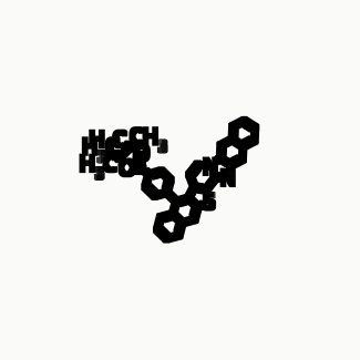 CC1(C)OB(c2ccc(-c3c4ccccc4cc4sc5c(ccn6c7cc8ccccc8cc7nc56)c34)cc2)OC1(C)C